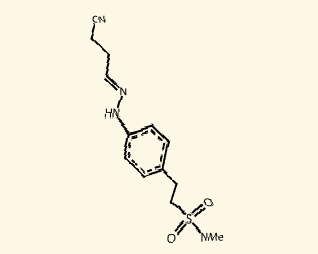 CNS(=O)(=O)CCc1ccc(NN=CCCC#N)cc1